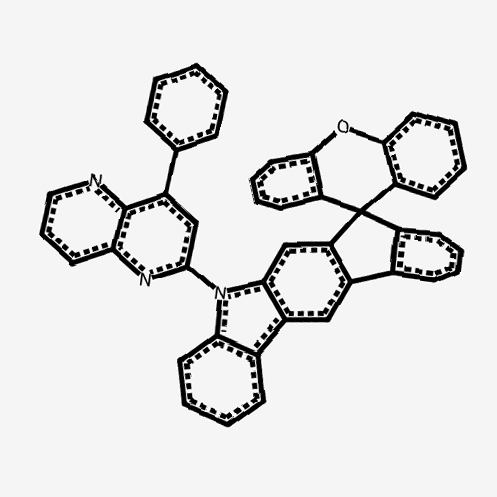 c1ccc(-c2cc(-n3c4ccccc4c4cc5c(cc43)C3(c4ccccc4Oc4ccccc43)c3ccccc3-5)nc3cccnc23)cc1